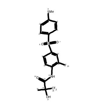 CSc1ccc(S(=O)(=O)c2ccc(NC(=O)C(C)(O)C(F)(F)F)c(F)c2)cc1